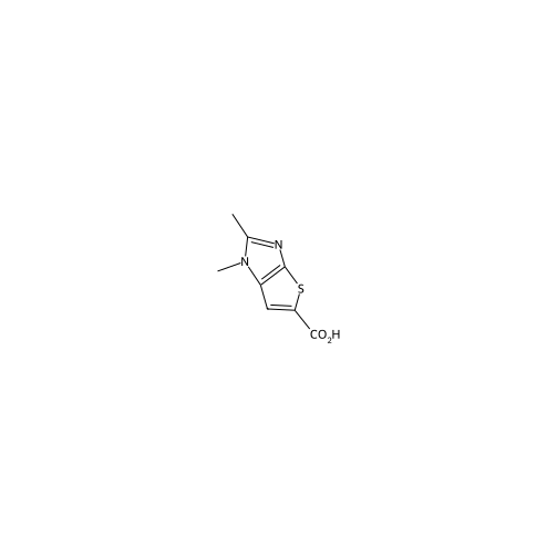 Cc1nc2sc(C(=O)O)cc2n1C